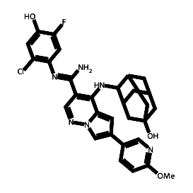 COc1ccc(-c2cc3c(NC4C5CC6CC4CC(O)(C6)C5)c(/C(N)=N/c4cc(F)c(O)cc4Cl)cnn3c2)cn1